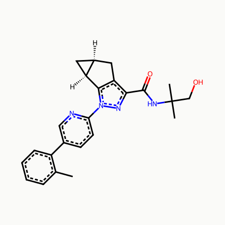 Cc1ccccc1-c1ccc(-n2nc(C(=O)NC(C)(C)CO)c3c2[C@H]2C[C@H]2C3)nc1